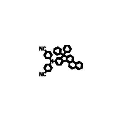 N#Cc1ccc(N(c2ccc(C#N)cc2)c2ccc3c(c2)C(c2ccccc2)(c2ccccc2)c2ccc4c(ccc5ccccc54)c2-3)cc1